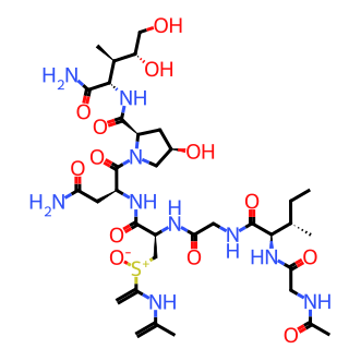 C=C(C)NC(=C)[S+]([O-])C[C@H](NC(=O)CNC(=O)[C@H](NC(=O)CNC(C)=O)[C@@H](C)CC)C(=O)N[C@@H](CC(N)=O)C(=O)N1C[C@H](O)C[C@@H]1C(=O)N[C@H](C(N)=O)[C@@H](C)[C@@H](O)CO